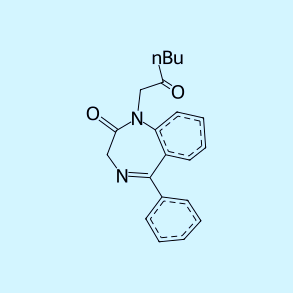 CCCCC(=O)CN1C(=O)CN=C(c2ccccc2)c2ccccc21